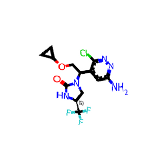 Nc1cc(C(COC2CC2)N2C[C@@H](C(F)(F)F)NC2=O)c(Cl)nn1